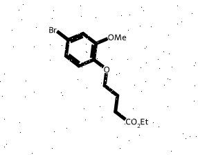 CCOC(=O)CCCOc1ccc(Br)cc1OC